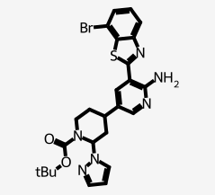 CC(C)(C)OC(=O)N1CCC(c2cnc(N)c(-c3nc4cccc(Br)c4s3)c2)CC1n1cccn1